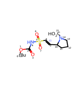 CC(C)(C)OC(=O)NS(=O)(=O)/C=C/C1CCCN1C(=O)O